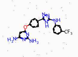 Nc1cc(Oc2ccc(-c3nnc(Nc4cccc(C(F)(F)F)c4)[nH]3)cc2)nc(N)n1